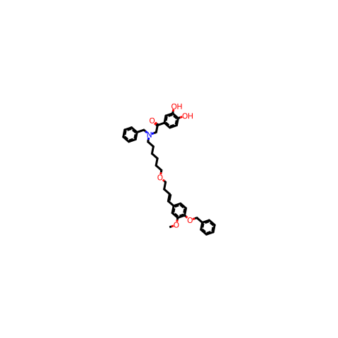 COc1cc(C=CCCOCCCCCCN(CC(=O)c2ccc(O)c(O)c2)Cc2ccccc2)ccc1OCc1ccccc1